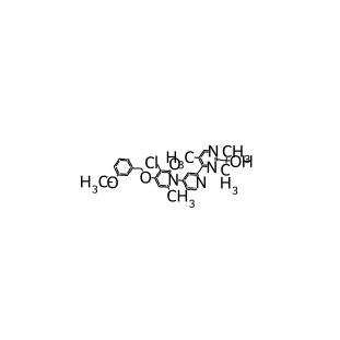 COc1cccc(COc2cc(C)n(-c3ccnc(-c4nc(C(C)(C)O)ncc4C)c3)c(=O)c2Cl)c1